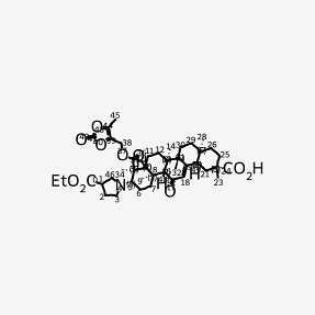 CCOC(=O)C1CCN([C@H]2CC[C@@]3(C)[C@@H](CC[C@]4(C)[C@@H]3C(=O)C=C3[C@@H]5C[C@@](C)(C(=O)O)CC[C@]5(C)CC[C@]34C)[C@]2(C)C(=O)OCc2oc(=O)oc2C)C1